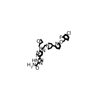 NC(=O)c1nnc(-c2cc3nc(CN4CCC(c5cccc(OCc6ccc(Cl)cc6F)n5)CC4)n(CC4CCO4)c3nn2)[nH]1